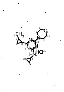 CC1CC1c1nc(NC2CC2)nc(N2CCOCC2)n1.Cl